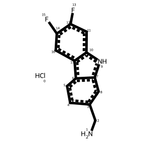 Cl.NCc1ccc2c(c1)[nH]c1cc(F)c(F)cc12